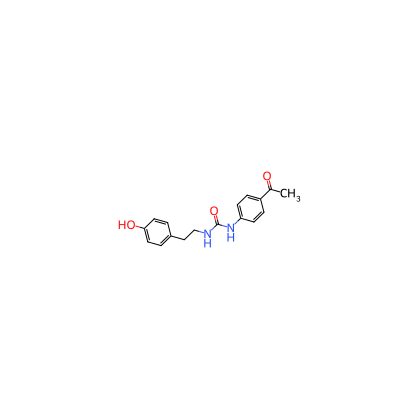 CC(=O)c1ccc(NC(=O)NCCc2ccc(O)cc2)cc1